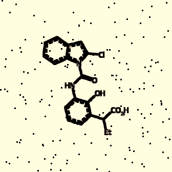 CCC(C(=O)O)c1cccc(NC(=O)n2c(Cl)cc3ccccc32)c1O